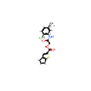 O=C(COC(=O)c1cc2c(s1)CCC2)Nc1cc(C(F)(F)F)ccc1Cl